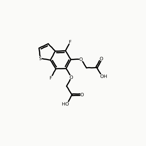 O=C(O)COc1c(OCC(=O)O)c(F)c2sccc2c1F